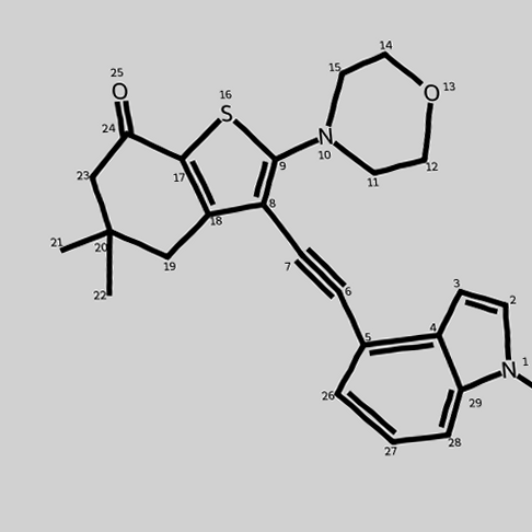 Cn1ccc2c(C#Cc3c(N4CCOCC4)sc4c3CC(C)(C)CC4=O)cccc21